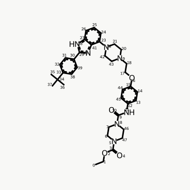 CCOC(=O)N1CCN(C(=O)Nc2ccc(OCCN3CCN(c4cccc5[nH]c(-c6ccc(C(C)(C)C)cc6)nc45)CC3)cc2)CC1